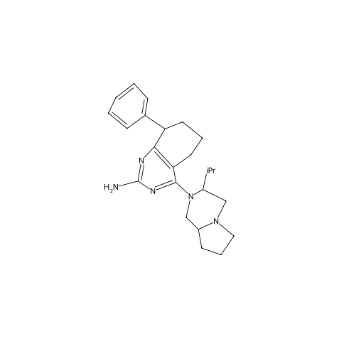 CC(C)C1CN2CCCC2CN1c1nc(N)nc2c1CCCC2c1ccccc1